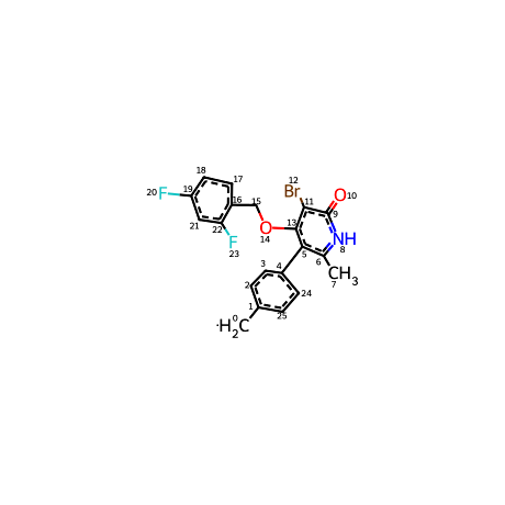 [CH2]c1ccc(-c2c(C)[nH]c(=O)c(Br)c2OCc2ccc(F)cc2F)cc1